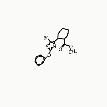 COC(=O)C1CCCCC1c1nc(Oc2ccccc2)sc1Br